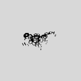 CCOC(=O)CNC(=O)C(NC(=O)C(Cc1ccccc1)NC(=O)OC(C)(C)C)C(C)C